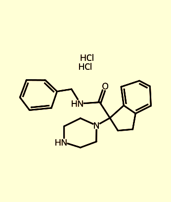 Cl.Cl.O=C(NCc1ccccc1)C1(N2CCNCC2)CCc2ccccc21